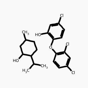 CC1CCC(C(C)C)C(O)C1.Oc1cc(Cl)ccc1Oc1ccc(Cl)cc1Cl